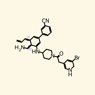 C=C/C=c1/cc(-c2cccc(C#N)c2)cc(NC2CCN(C(=O)CC3=CNCC(Br)=C3)CC2)/c1=C/N